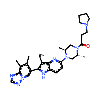 Cc1c(-c2[nH]c3ccc(N4C[C@@H](C)N(C(=O)CCN5CCCC5)C[C@@H]4C)nc3c2C(C)C)cn2ncnc2c1C